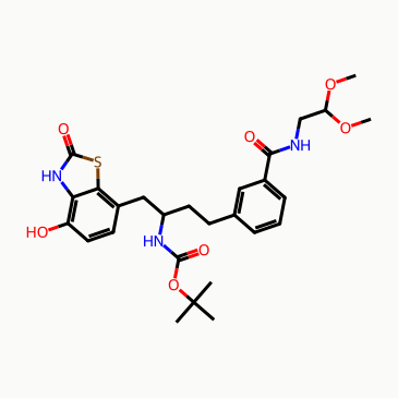 COC(CNC(=O)c1cccc(CCC(Cc2ccc(O)c3[nH]c(=O)sc23)NC(=O)OC(C)(C)C)c1)OC